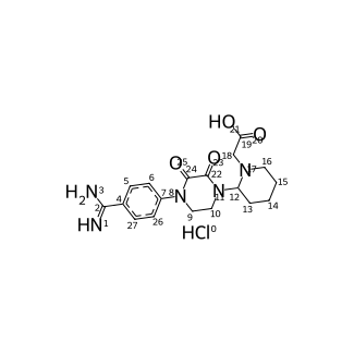 Cl.N=C(N)c1ccc(N2CCN(C3CCCCN3CC(=O)O)C(=O)C2=O)cc1